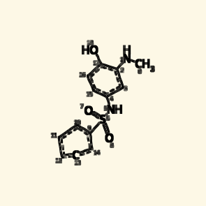 CNc1cc(NS(=O)(=O)c2ccccc2)ccc1O